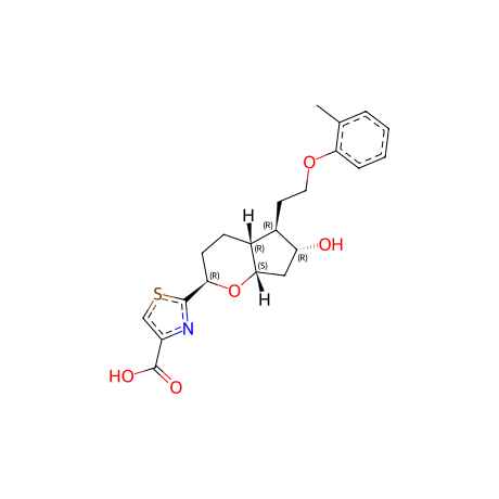 Cc1ccccc1OCC[C@@H]1[C@H]2CC[C@H](c3nc(C(=O)O)cs3)O[C@H]2C[C@H]1O